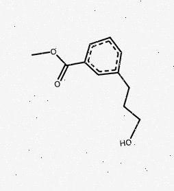 COC(=O)c1cccc(CCCO)c1